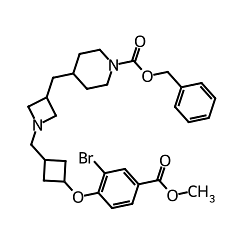 COC(=O)c1ccc(OC2CC(CN3CC(CC4CCN(C(=O)OCc5ccccc5)CC4)C3)C2)c(Br)c1